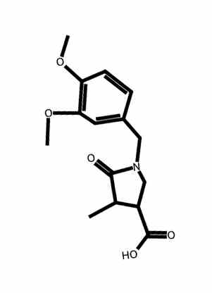 COc1ccc(CN2CC(C(=O)O)C(C)C2=O)cc1OC